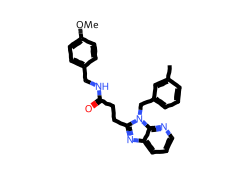 COc1ccc(CNC(=O)CCc2nc3cccnc3n2Cc2cccc(C)c2)cc1